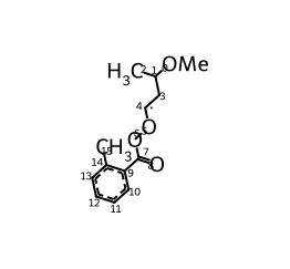 COC(C)C[CH]OOC(=O)c1ccccc1C